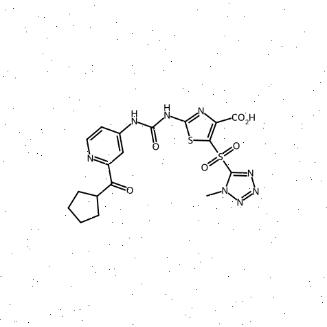 Cn1nnnc1S(=O)(=O)c1sc(NC(=O)Nc2ccnc(C(=O)C3CCCC3)c2)nc1C(=O)O